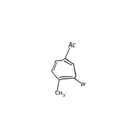 [CH2]c1ccc(C(C)=O)cc1Br